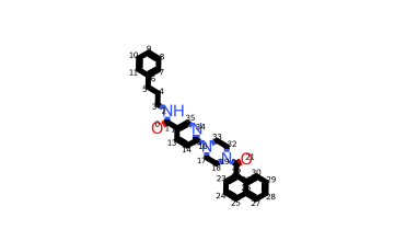 O=C(NCCCc1ccccc1)c1ccc(N2CCN(C(=O)c3cccc4ccccc34)CC2)nc1